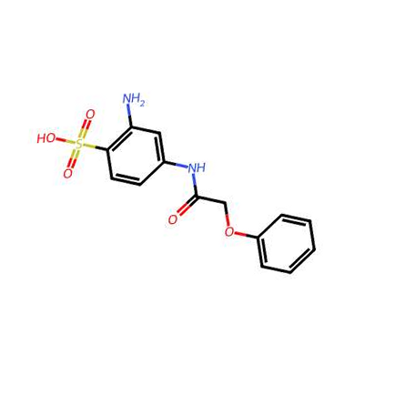 Nc1cc(NC(=O)COc2ccccc2)ccc1S(=O)(=O)O